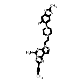 CC#Cc1nc2c3cnn(CCN4CCN(c5cc6nc(C)oc6cc5F)CC4)c3nc(N)n2n1